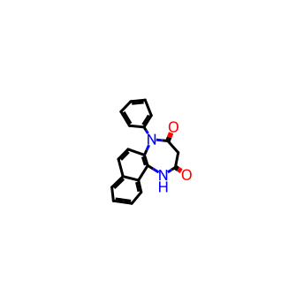 O=C1CC(=O)N(c2ccccc2)c2ccc3ccccc3c2N1